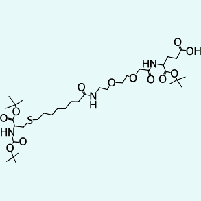 CC(C)(C)OC(=O)NC(CSCCCCCCCC(=O)NCCOCCOCC(=O)NC(CCC(=O)O)C(=O)OC(C)(C)C)C(=O)OC(C)(C)C